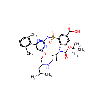 Cc1cccc(C)c1-c1cc(OC[C@@H](CC(C)C)NC2CC(NC(=O)OC(C)(C)C)C2)nc(NS(=O)(=O)c2cccc(C(=O)O)c2)n1